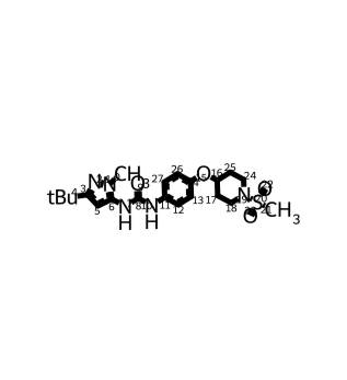 Cn1nc(C(C)(C)C)cc1NC(=O)Nc1ccc(OC2CCN(S(C)(=O)=O)CC2)cc1